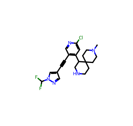 CN1CCC2(CCNCC2c2cc(Cl)ncc2C#Cc2cnn(C(F)F)c2)CC1